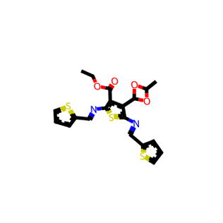 CCOC(=O)c1c(/N=C/c2cccs2)sc(/N=C/c2cccs2)c1C1OC(C)O1